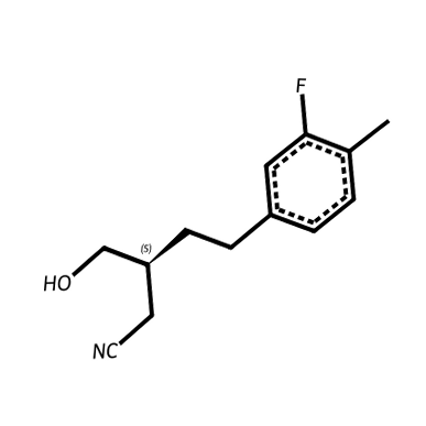 Cc1ccc(CC[C@H](CO)CC#N)cc1F